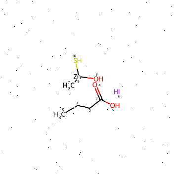 CCCC(=O)O.I.[CH3][Zn]([OH])[SH]